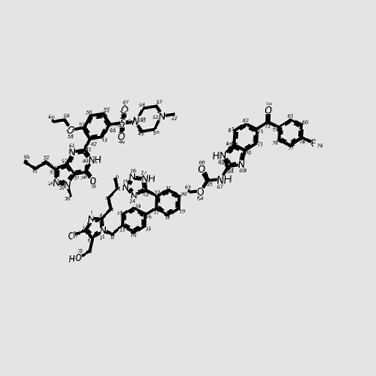 CCCCc1nc(Cl)c(CO)n1Cc1ccc(-c2ccccc2-c2nnn[nH]2)cc1.CCCc1nn(C)c2c(=O)[nH]c(-c3cc(S(=O)(=O)N4CCN(C)CC4)ccc3OCC)nc12.COC(=O)Nc1nc2cc(C(=O)c3ccc(F)cc3)ccc2[nH]1